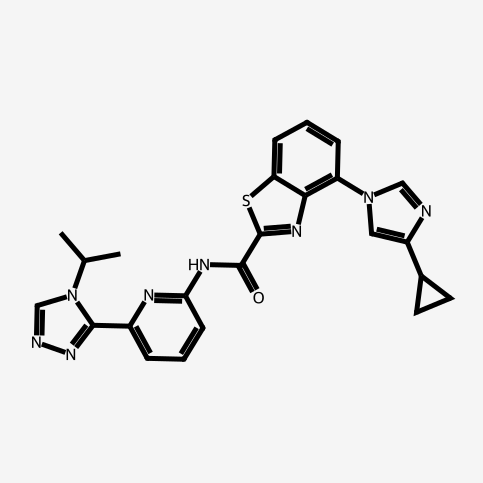 CC(C)n1cnnc1-c1cccc(NC(=O)c2nc3c(-n4cnc(C5CC5)c4)cccc3s2)n1